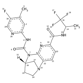 Cc1cc(NC(=O)N2c3nc(C(=O)NC(C)C(F)(F)F)ccc3N3CC[C@H]2C3)ncc1F